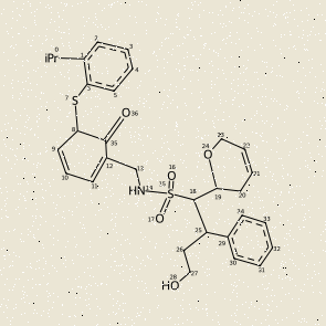 CC(C)c1ccccc1SC1C=CC=C(CNS(=O)(=O)C(C2CC=CCO2)C(CCO)c2ccccc2)C1=O